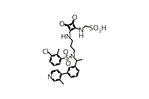 Cc1cnccc1-c1cccc(C(C)N(CCCNc2c(NCS(=O)(=O)O)c(=O)c2=O)S(=O)(=O)c2cccc(Cl)c2C)c1